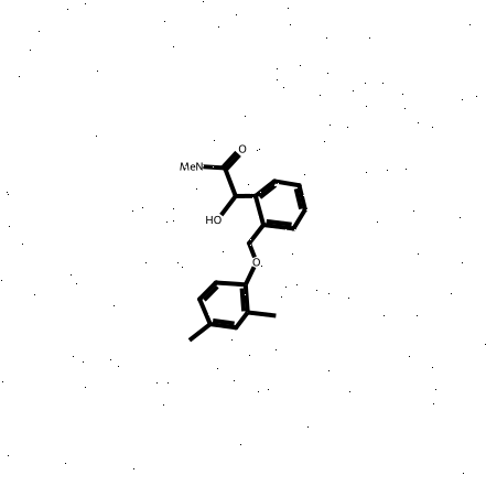 CNC(=O)C(O)c1ccccc1COc1ccc(C)cc1C